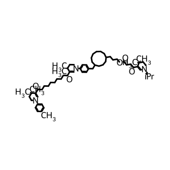 Cc1ccc(N2C=C(C(=O)CCCCCCCCC(=O)C3=CN(c4ccc(CC5CCCCCCC(CCCOC(=O)CCC(=O)C6=CN(CC(C)C)CCC6(C)C)CCC5)cc4)CCC3(C)C)C(C)(C)CC2)cc1